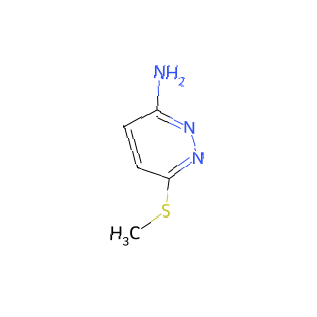 CSc1ccc(N)nn1